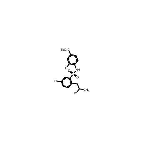 CCOC(=O)c1ccc(NS(=O)(=O)c2cc(Cl)ccc2CC(C)O)c(F)c1